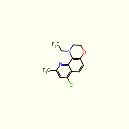 FC(F)(F)CN1CCOc2ccc3c(Cl)cc(C(F)(F)F)nc3c21